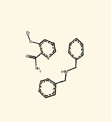 CCOc1cccnc1C(N)=O.c1ccc(CNCc2ccccc2)cc1